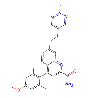 COc1cc(C)c(-c2cc(C(N)=O)nc3cc(CCc4cnc(C)nc4)ccc23)c(C)c1